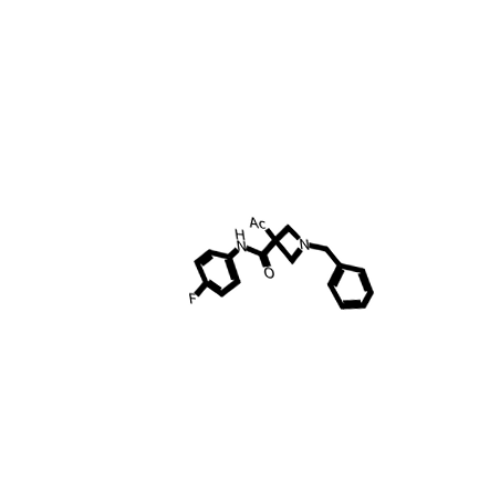 CC(=O)C1(C(=O)Nc2ccc(F)cc2)CN(Cc2ccccc2)C1